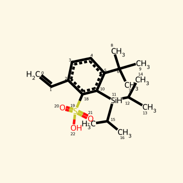 C=Cc1ccc(C(C)(C)C)c([SiH](C(C)C)C(C)C)c1S(=O)(=O)O